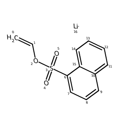 C=COS(=O)(=O)c1cccc2ccccc12.[Li]